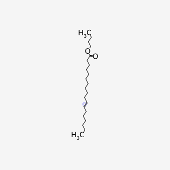 CCCCCC/C=C/CCCCCCCCCC(=O)OCCCC